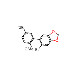 CCc1cc2c(cc1-c1cc(C(C)(C)C)ccc1OC)OCO2